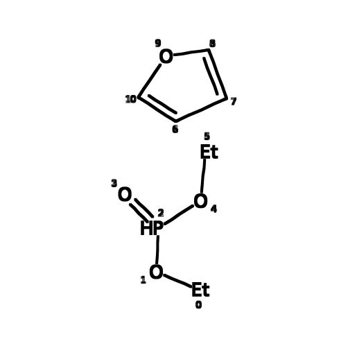 CCO[PH](=O)OCC.c1ccoc1